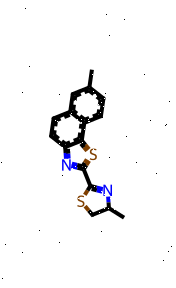 Cc1ccc2c(ccc3nc(C4=NC(C)CS4)sc32)c1